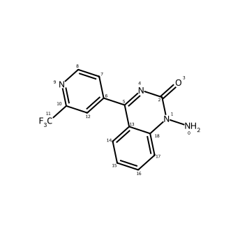 Nn1c(=O)nc(-c2ccnc(C(F)(F)F)c2)c2ccccc21